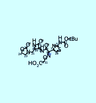 CC(C)(C)OC(=O)Nc1nc(/C(=N/OCC(=O)O)C(=O)N[C@@H]2C(=O)N[C@@H]2CN2CCOC2=O)cs1